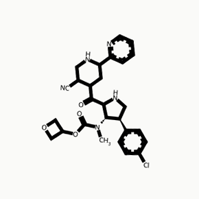 CN(C(=O)OC1COC1)[C@@H]1C(C(=O)C2CC(c3ccccn3)NCC2C#N)NC[C@H]1c1ccc(Cl)cc1